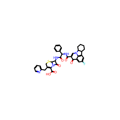 O=C(O)C1=C(Cc2ccccn2)CSC2C(NC(=O)C(NC(=O)c3cn4c5c(cc(F)cc5c3=O)C3CCCCC34)c3ccccc3)C(=O)N12